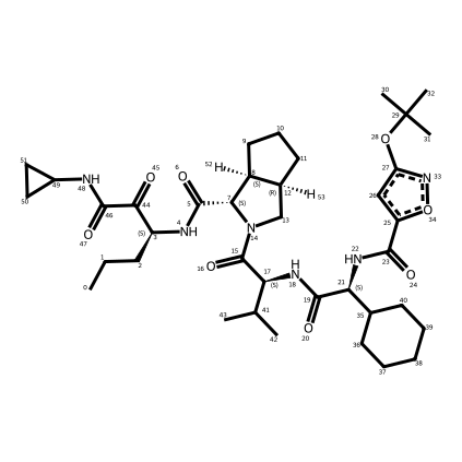 CCC[C@H](NC(=O)[C@@H]1[C@H]2CCC[C@H]2CN1C(=O)[C@@H](NC(=O)[C@@H](NC(=O)c1cc(OC(C)(C)C)no1)C1CCCCC1)C(C)C)C(=O)C(=O)NC1CC1